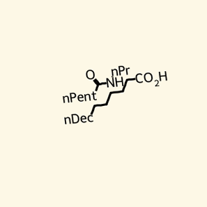 CCCCCC(=O)NCCC.CCCCCCCCCCCCCCCC(=O)O